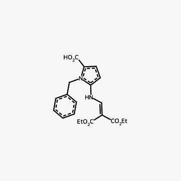 CCOC(=O)C(=CNc1ccc(C(=O)O)n1Cc1ccccc1)C(=O)OCC